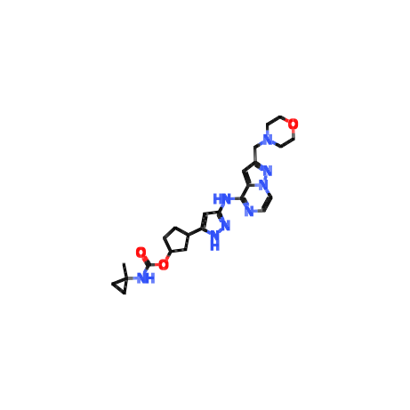 CC1(NC(=O)OC2CCC(c3cc(Nc4nccn5nc(CN6CCOCC6)cc45)n[nH]3)C2)CC1